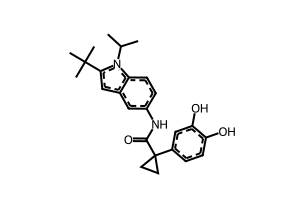 CC(C)n1c(C(C)(C)C)cc2cc(NC(=O)C3(c4ccc(O)c(O)c4)CC3)ccc21